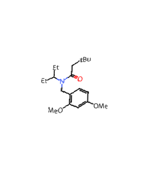 CCC(CC)N(Cc1ccc(OC)cc1OC)C(=O)CC(C)(C)C